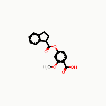 COc1cc(OC(=O)C2CCc3ccccc32)ccc1C(=O)O